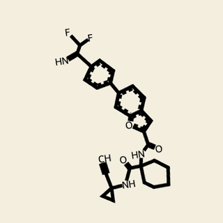 C#CC1(NC(=O)C2(NC(=O)c3cc4ccc(-c5ccc(C(=N)C(F)F)cc5)cc4o3)CCCCC2)CC1